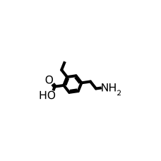 CCc1cc(CCN)ccc1C(=O)O